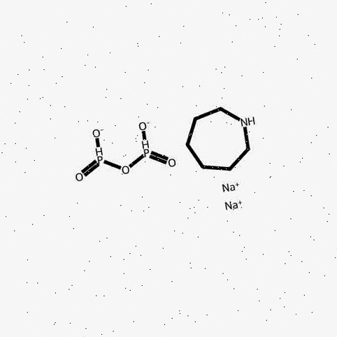 C1CCCNCC1.O=[PH]([O-])O[PH](=O)[O-].[Na+].[Na+]